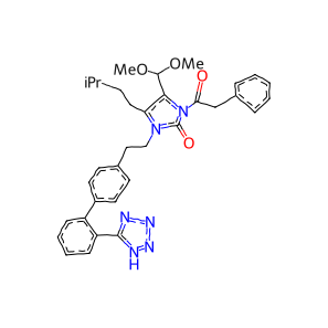 COC(OC)c1c(CCC(C)C)n(CCc2ccc(-c3ccccc3-c3nnn[nH]3)cc2)c(=O)n1C(=O)Cc1ccccc1